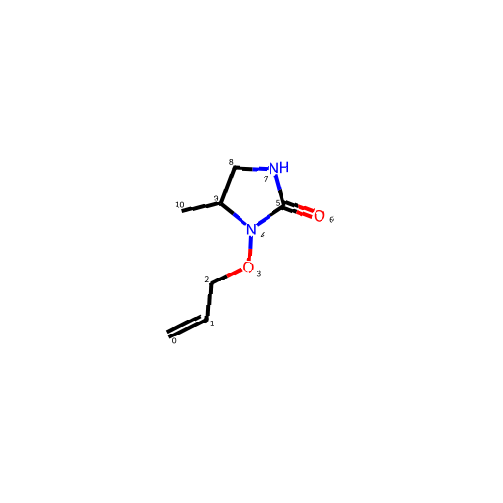 C=CCON1C(=O)NCC1C